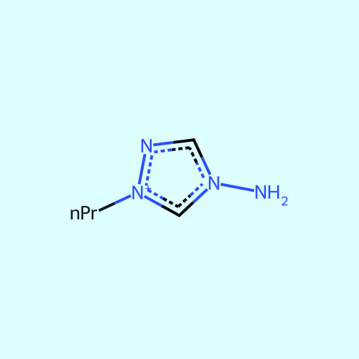 CCC[n+]1cn(N)cn1